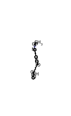 COC(=O)/C=C/c1ccc(C#Cc2ccc(N3CCN(C(=O)CCCCCCC(=O)NOC4CCCCO4)CC3)cc2)cn1